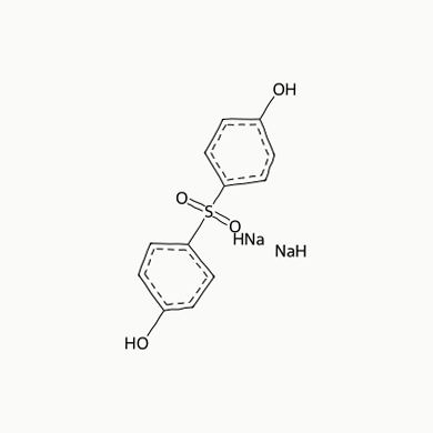 O=S(=O)(c1ccc(O)cc1)c1ccc(O)cc1.[NaH].[NaH]